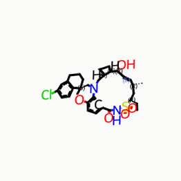 CC[C@@H]1C[C@@H](C)/C=C/[C@H](O)[C@@H]2CC[C@H]2CN2C[C@@]3(CCCc4cc(Cl)ccc43)COc3ccc(cc32)C(=O)NS1(=O)=O